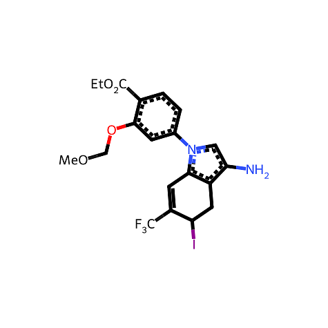 CCOC(=O)c1ccc(-n2cc(N)c3c2C=C(C(F)(F)F)C(I)C3)cc1OCOC